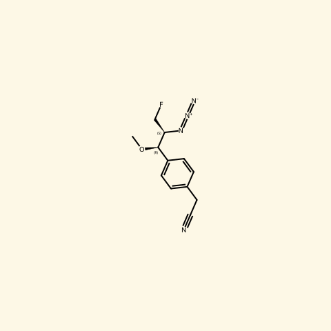 CO[C@H](c1ccc(CC#N)cc1)[C@@H](CF)N=[N+]=[N-]